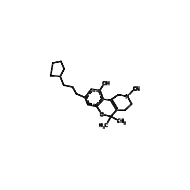 CC1(C)Oc2cc(CCCC3CCCC3)cc(O)c2C2=C1CCN(C#N)C2